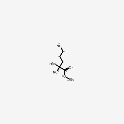 CC(C)(C)OC(=O)C(N)(C#N)CCCC#N